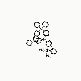 CC1(C)c2ccccc2-c2ccc(N(c3ccc(-c4ccccc4)cc3)c3cccc4c3-c3c(ccc5ccccc35)C4(c3ccccc3)c3ccccc3)cc21